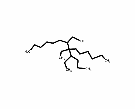 CCCCCC[C](CC)C(CC)(CCCCCC)C(CC)CCC